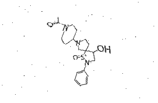 CC(=O)N1CCC(N2CCC3(C2)C(O)CN(c2ccccc2)[S+]3[O-])CC1